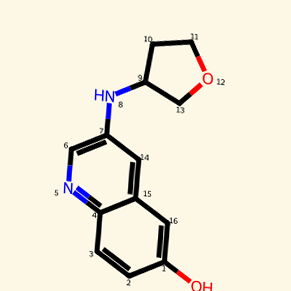 Oc1ccc2ncc(NC3CCOC3)cc2c1